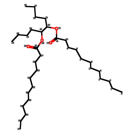 CCCCCCCCCCCC(=O)OC(CCCC)C(CCCC)OC(=O)CCCCCCCCCCC